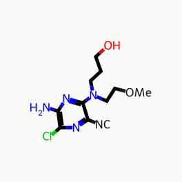 [C-]#[N+]c1nc(Cl)c(N)nc1N(CCCO)CCOC